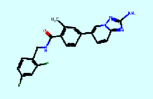 Cc1cc(-c2ccc3nc(N)nn3c2)ccc1C(=O)NCc1ccc(F)cc1F